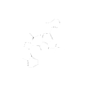 Cc1ccccc1-c1ccc(C(=O)N2[C@@H](c3ccccc3F)CC[C@H]2C(=O)O)c(NS(C)(=O)=O)c1